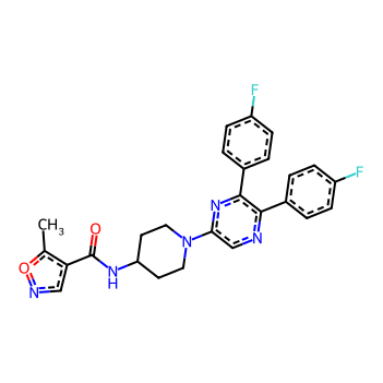 Cc1oncc1C(=O)NC1CCN(c2cnc(-c3ccc(F)cc3)c(-c3ccc(F)cc3)n2)CC1